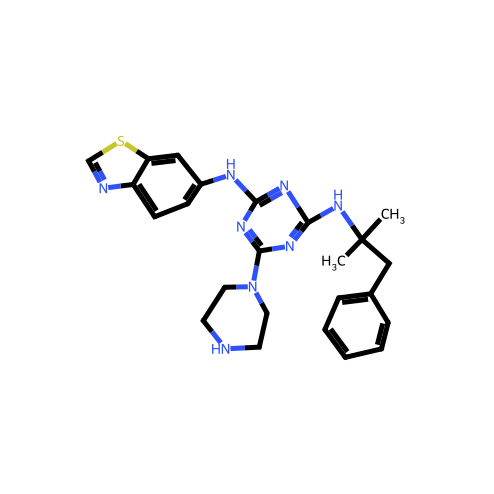 CC(C)(Cc1ccccc1)Nc1nc(Nc2ccc3ncsc3c2)nc(N2CCNCC2)n1